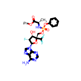 CC(C)OC(=O)[C@H](C)NP(=O)(OC[C@@]1(C(F)F)O[C@@H](n2cnc3c(N)ncnc32)[C@H](F)[C@@H]1O)Oc1ccccc1